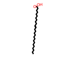 CCCCCCCCCCCCCCC=CCCCCCCCCCC(=O)O